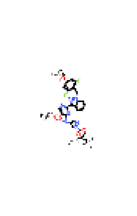 CCOc1cc(F)c(Cn2nc(-c3ncc(OC)c(Nc4cnn(C(=O)OC(C)(C)C)c4)n3)c3ccccc32)c(F)c1